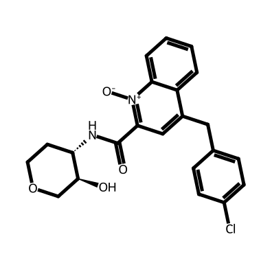 O=C(N[C@H]1CCOC[C@@H]1O)c1cc(Cc2ccc(Cl)cc2)c2ccccc2[n+]1[O-]